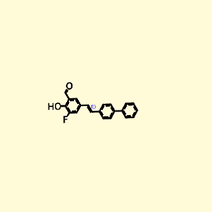 O=Cc1cc(/C=C/c2ccc(-c3ccccc3)cc2)cc(F)c1O